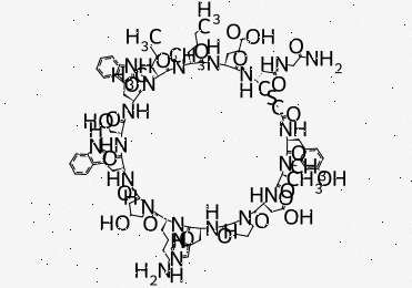 CCCC[C@H]1C(=O)N(C)[C@@H](CCCC)C(=O)N[C@@H](CCC(=O)O)C(=O)N[C@H](CC(=O)NCC(N)=O)CSCC(=O)N[C@@H](Cc2ccc(O)cc2)C(=O)N(C)[C@@H](C)C(=O)N[C@@H](CC(=O)O)C(=O)N2CCC[C@H]2C(=O)N[C@@H](Cc2c[nH]cn2)C(=O)N[C@@H](CCCCN)C(=O)N2C[C@H](O)C[C@H]2C(=O)N[C@@H](Cc2c[nH]c3ccccc23)C(=O)N[C@@H](CO)C(=O)N[C@@H](Cc2c[nH]c3ccccc23)C(=O)N1C